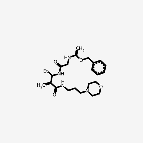 C=C(NCC(=O)NC(CC)C(=C)C(=O)NCCCN1CCOCC1)OCc1ccccc1